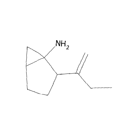 C=C(CC)C1CCC2CC21N